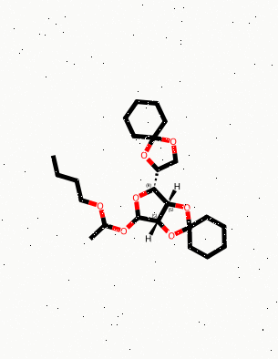 CCCCOC(C)OC1O[C@H](C2COC3(CCCCC3)O2)[C@@H]2OC3(CCCCC3)O[C@H]12